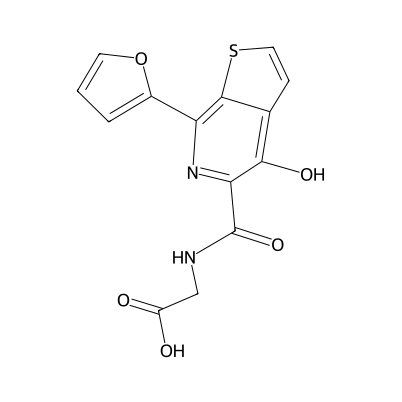 O=C(O)CNC(=O)c1nc(-c2ccco2)c2sccc2c1O